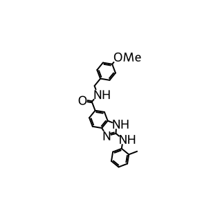 COc1ccc(CNC(=O)c2ccc3nc(Nc4ccccc4C)[nH]c3c2)cc1